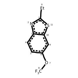 CCc1nc2ccc(OC(F)(F)F)cc2s1